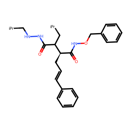 CC(C)CNNC(=O)C(CC(C)C)[C@H](CC=Cc1ccccc1)C(=O)NOCc1ccccc1